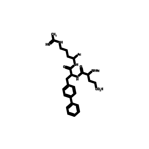 CC(=N)NCCCC(NC(=O)C(Cc1ccc(-c2ccccc2)cc1)NC(=O)C(CCC(=O)O)NC(C)=O)C(C)=O